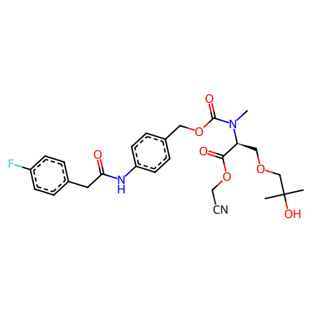 CN(C(=O)OCc1ccc(NC(=O)Cc2ccc(F)cc2)cc1)[C@@H](COCC(C)(C)O)C(=O)OCC#N